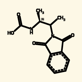 CC([C@H](C)NC(=O)O)N1C(=O)c2ccccc2C1=O